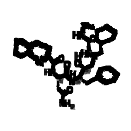 CC(C)(C)NC(=O)NN(CC1CCCCC1)C[C@H](O)[C@H](Cc1ccccc1)NC(=O)[C@H](CC(N)=O)NC(=O)c1ccc2ccccc2n1